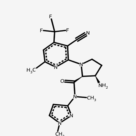 Cc1cc(C(F)(F)F)c(C#N)c(N2CC[C@@H](N)[C@H]2C(=O)N(C)c2ccn(C)n2)n1